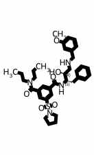 CCCN(CCC)C(=O)c1cc(C(=O)N[C@@H](Cc2ccccc2)[C@H](O)CNCc2cccc(OC)c2)cc(S(=O)(=O)N2CCCC2)c1